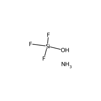 N.O[Si](F)(F)F